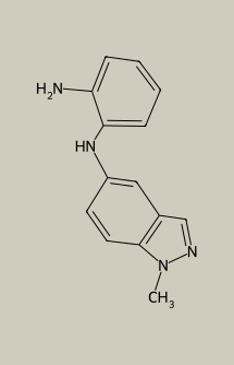 Cn1ncc2cc(Nc3ccccc3N)ccc21